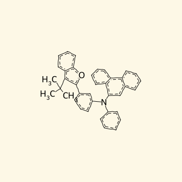 CC(C)(C)c1c(-c2cccc(N(c3ccccc3)c3cc4ccccc4c4ccccc34)c2)oc2ccccc12